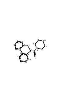 O=C(C1Sc2ccccc2-c2ccccc21)N1CCOCC1